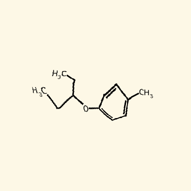 CCC(CC)Oc1ccc(C)cc1